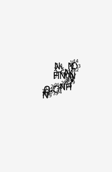 Fc1cnccc1Nc1nc(-c2ccccn2)nn2ccc(CNc3ccc(-c4cnco4)cc3)c12